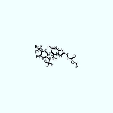 CCOC(=O)CCc1nc2nc(C)cc(N[C@@H](c3ccc(C(F)(F)F)c(F)c3)C(C)(C)C)n2n1